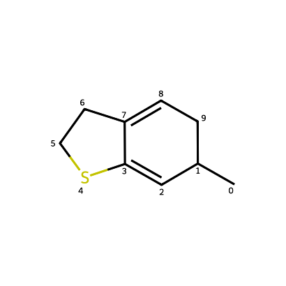 CC1C=C2SCCC2=CC1